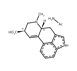 CC(N)=O.CN1C[C@H](C(=O)O)C=C2c3cccc4[nH]cc(c34)C[C@H]21